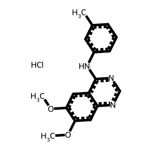 COc1cc2ncnc(Nc3cccc(C)c3)c2cc1OC.Cl